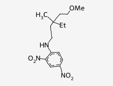 CCC(C)(CCNc1ccc([N+](=O)[O-])cc1[N+](=O)[O-])CCOC